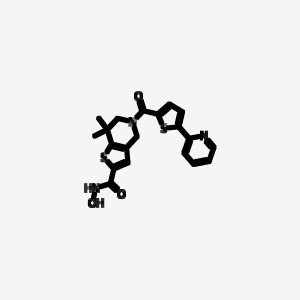 CC1(C)CN(C(=O)c2ccc(-c3ccccn3)s2)Cc2cc(C(=O)NO)sc21